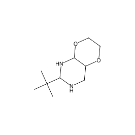 CC(C)(C)C1NCC2OCCOC2N1